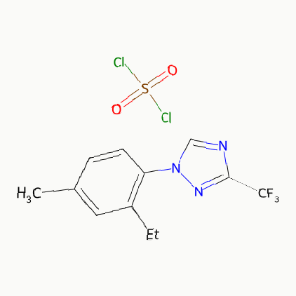 CCc1cc(C)ccc1-n1cnc(C(F)(F)F)n1.O=S(=O)(Cl)Cl